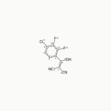 N#CC(C#N)=C(O)c1ccc(Cl)c(F)c1F